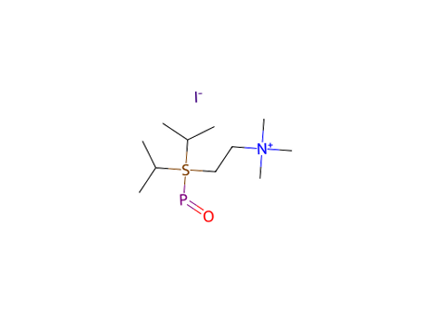 CC(C)S(CC[N+](C)(C)C)(P=O)C(C)C.[I-]